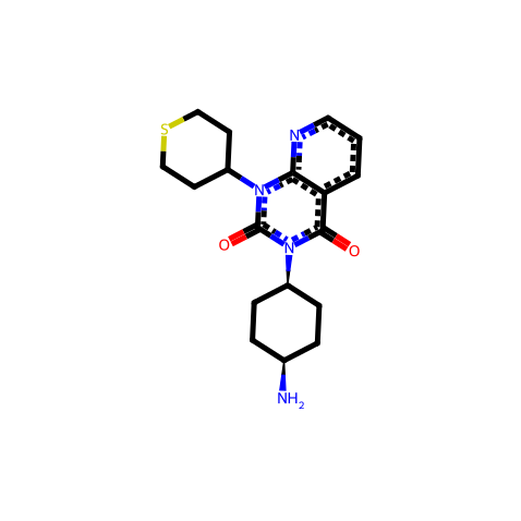 N[C@H]1CC[C@@H](n2c(=O)c3cccnc3n(C3CCSCC3)c2=O)CC1